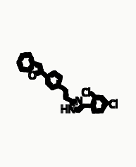 Clc1ccc(-c2c[nH]c(C=Cc3ccc(-c4cc5ccccc5o4)cc3)n2)c(Cl)c1